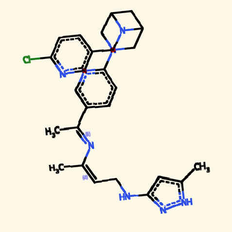 CC(=C/CNc1cc(C)[nH]n1)/N=C(\C)c1ccc(N2CC3CC(C2)N3Cc2ccc(Cl)nc2)nc1